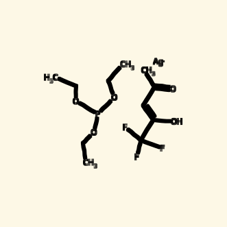 CC(=O)C=C(O)C(F)(F)F.CCOP(OCC)OCC.[Ag]